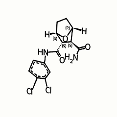 NC(=O)[C@H]1[C@H](C(=O)Nc2ccc(Cl)c(Cl)c2)[C@@H]2CC[C@H]1O2